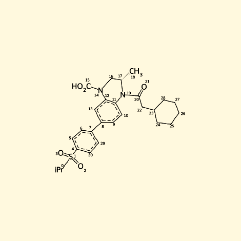 CC(C)S(=O)(=O)c1ccc(-c2ccc3c(c2)N(C(=O)O)C[C@H](C)N3C(=O)CC2CCCCC2)cc1